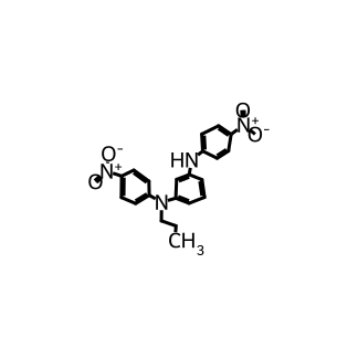 CCCN(c1ccc([N+](=O)[O-])cc1)c1cccc(Nc2ccc([N+](=O)[O-])cc2)c1